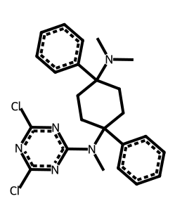 CN(C)C1(c2ccccc2)CCC(c2ccccc2)(N(C)c2nc(Cl)nc(Cl)n2)CC1